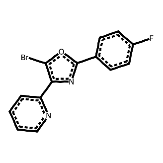 Fc1ccc(-c2nc(-c3ccccn3)c(Br)o2)cc1